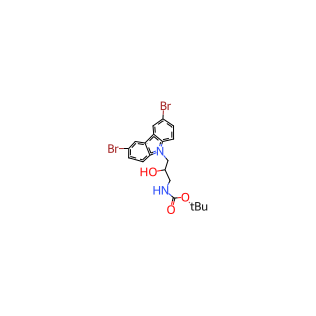 CC(C)(C)OC(=O)NCC(O)Cn1c2ccc(Br)cc2c2cc(Br)ccc21